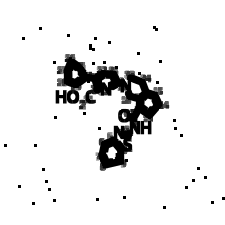 O=C(Nc1nc2ccccc2s1)c1cccc2c1CN(c1ccc(-c3ccccc3)c(C(=O)O)n1)CC2